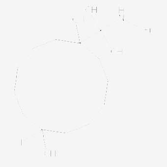 CC(C)NC(C)(C)C1(C)CCCCCC(C)(I)CCCCC1